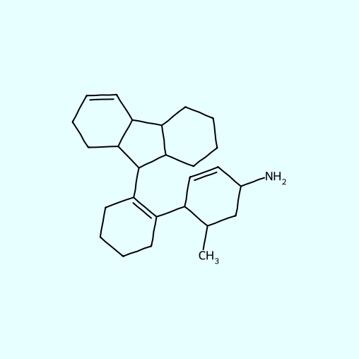 CC1CC(N)C=CC1C1=C(C2C3CCC=CC3C3CCCCC32)CCCC1